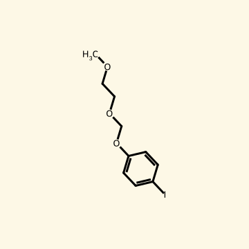 COCCOCOc1ccc(I)cc1